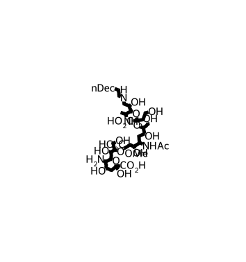 CCCCCCCCCCCCNCC(O)C(OC(CCO)(OC(CO)C(O)CC(NC(C)=O)C(O)CC(OC)(OC(CO)C(O)C1OC(O)(C(=O)O)CC(O)C1N)C(=O)O)C(=O)O)C(C)N